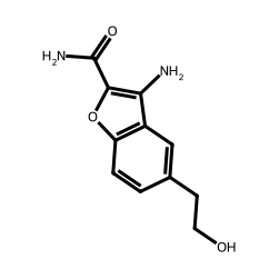 NC(=O)c1oc2ccc(CCO)cc2c1N